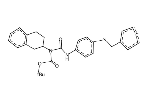 CC(C)(C)OC(=O)N(C(=O)Nc1ccc(SCc2ccccc2)cc1)C1CCc2ccccc2C1